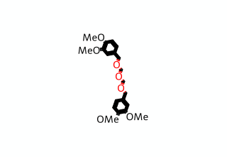 COc1ccc(COCOCOCc2ccc(OC)c(OC)c2)cc1OC